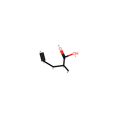 C#CCC(C)C(=O)O